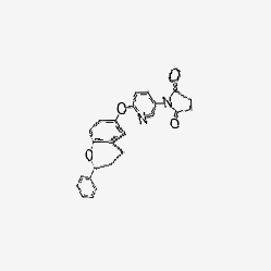 O=C1CCC(=O)N1c1ccc(Oc2ccc3c(c2)CCC(c2ccccc2)O3)nc1